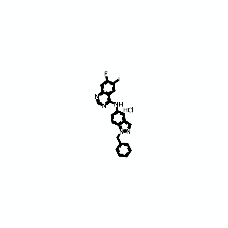 Cl.Fc1cc2ncnc(Nc3ccc4c(cnn4Cc4ccccc4)c3)c2cc1I